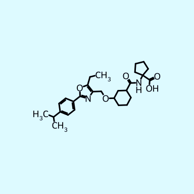 CCc1oc(-c2ccc(C(C)C)cc2)nc1COC1CCCC(C(=O)NC2(C(=O)O)CCCC2)C1